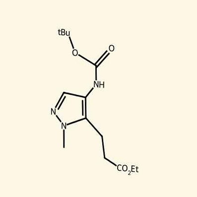 CCOC(=O)CCc1c(NC(=O)OC(C)(C)C)cnn1C